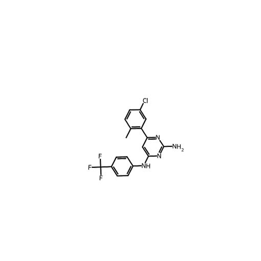 Cc1ccc(Cl)cc1-c1cc(Nc2ccc(C(F)(F)F)cc2)nc(N)n1